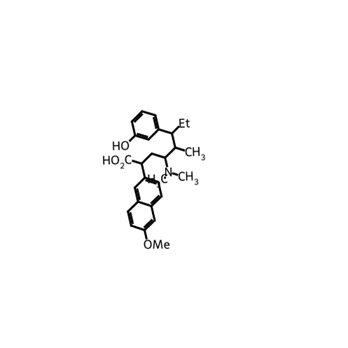 CCC(c1cccc(O)c1)C(C)C(CC(C(=O)O)c1ccc2cc(OC)ccc2c1)N(C)C